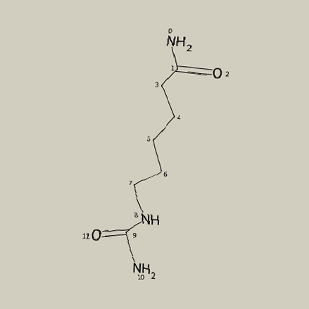 NC(=O)CCCCCNC(N)=O